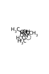 C=CC.CC1(C)CCCC(C)(C)N1C(=O)O